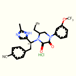 Cc1ncc([C@H](Cc2ccc(C#N)cc2)N2C(=O)C(=O)N(c3cccc(OC(F)(F)F)c3)CC2CC(C)C)[nH]1.Cl